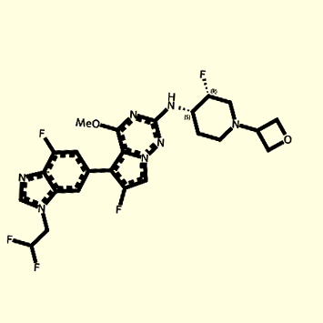 COc1nc(N[C@H]2CCN(C3COC3)C[C@H]2F)nn2cc(F)c(-c3cc(F)c4ncn(CC(F)F)c4c3)c12